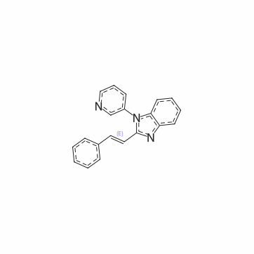 C(=C\c1nc2ccccc2n1-c1cccnc1)/c1ccccc1